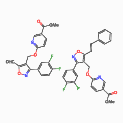 COC(=O)c1ccc(OCc2c(-c3ccc(F)c(F)c3)noc2C=Cc2ccccc2)nc1.COC(=O)c1ccc(OCc2c(-c3ccc(F)c(F)c3)noc2C=O)nc1